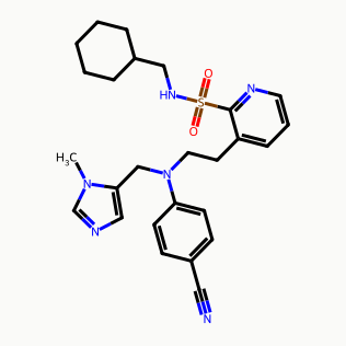 Cn1cncc1CN(CCc1cccnc1S(=O)(=O)NCC1CCCCC1)c1ccc(C#N)cc1